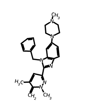 C=C1C(C)=CC(c2nc3ccc(N4CCN(C)CC4)cc3n2Cc2ccccc2)=NN1C